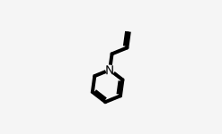 C=CCN1C=CC=CC1